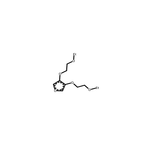 CCOCCOc1cocc1OCCOCC